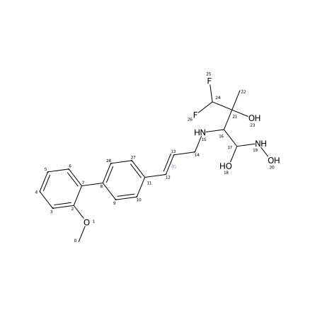 COc1ccccc1-c1ccc(/C=C/CNC(C(O)NO)C(C)(O)C(F)F)cc1